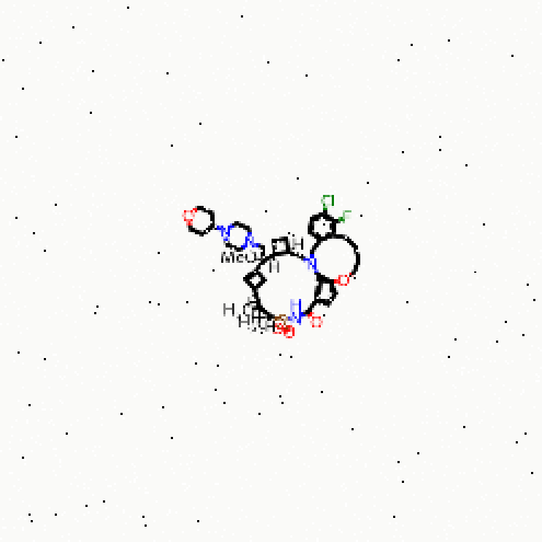 CO[C@@]1(CN2CCN(C3CCOCC3)CC2)C2=C[C@@H](C2)[C@H](C)[C@@H](C)S(=O)(=O)NC(=O)c2ccc3c(c2)N(Cc2ccc(Cl)c(F)c2CCCCO3)C[C@@H]2CC[C@H]21